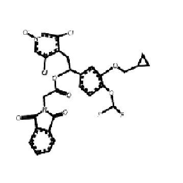 O=C(CN1C(=O)c2ccccc2C1=O)OC(Cc1c(Cl)c[n+]([O-])cc1Cl)c1ccc(OC(F)F)c(OCC2CC2)c1